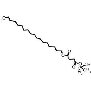 CCCCCCCCCCCCCCCCCCOC(=O)CCC(=O)OC(C)(C)C